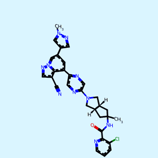 Cn1cc(-c2cc(-c3cnc(N4C[C@@H]5CC(C)(NC(=O)c6ncccc6Cl)C[C@@H]5C4)cn3)c3c(C#N)cnn3c2)cn1